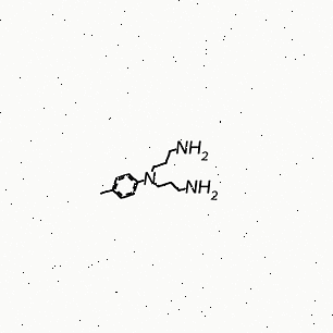 Cc1ccc(N(CCCN)CCCN)cc1